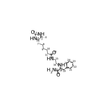 C[C@H]1NC(=O)N[C@H]1CCCCCC(=O)NCCN[C@@H](Cc1ccccc1)C(N)=O